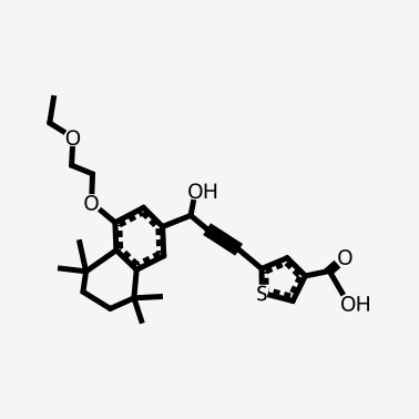 CCOCCOc1cc(C(O)C#Cc2cc(C(=O)O)cs2)cc2c1C(C)(C)CCC2(C)C